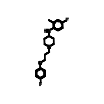 Cc1cc(F)ccc1NC1CCN(CCCOc2ccc(F)cc2)CC1